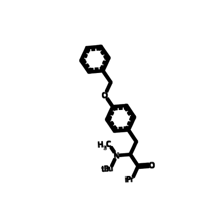 CC(C)C(=O)C(Cc1ccc(OCc2ccccc2)cc1)N(C)C(C)(C)C